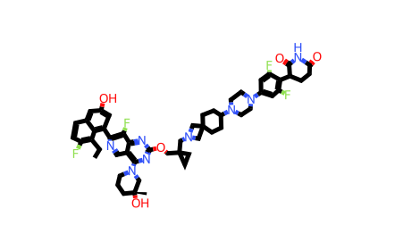 CCc1c(F)ccc2cc(O)cc(-c3ncc4c(N5CCC[C@@](C)(O)C5)nc(OCC5(CN6CC7(CCC(N8CCN(c9cc(F)c(C%10CCC(=O)NC%10=O)c(F)c9)CC8)CC7)C6)CC5)nc4c3F)c12